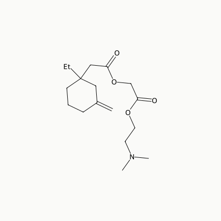 C=C1CCCC(CC)(CC(=O)OCC(=O)OCCN(C)C)C1